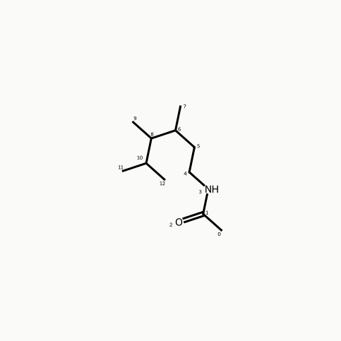 CC(=O)NCCC(C)C(C)C(C)C